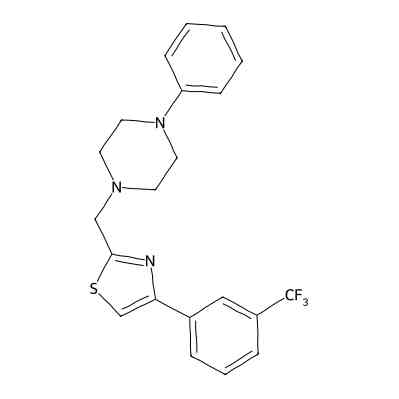 FC(F)(F)c1cccc(-c2csc(CN3CCN(c4ccccc4)CC3)n2)c1